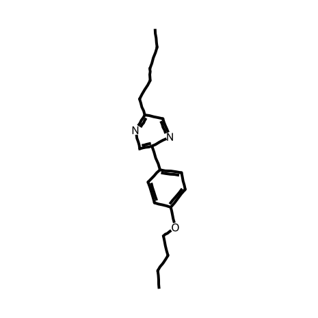 CCCCCc1cnc(-c2ccc(OCCCC)cc2)cn1